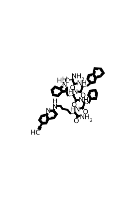 C#Cc1ccc2nc(NCCCC[C@H](NC(=O)[C@@H](Cc3ccccc3)NC(=O)[C@H](Cc3c[nH]c4ccccc34)NC(=O)[C@@H](Cc3ccc4ccccc4c3)NC(=O)[C@@H](C)N)C(N)=O)ccc2c1